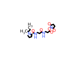 CCC(C)N1CCC[C@H]1C(=O)NCCC(=O)NCCC(=O)ON1C(=O)CCC1=O